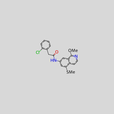 COc1nccc2c(SC)cc(NC(=O)Cc3ccccc3Cl)cc12